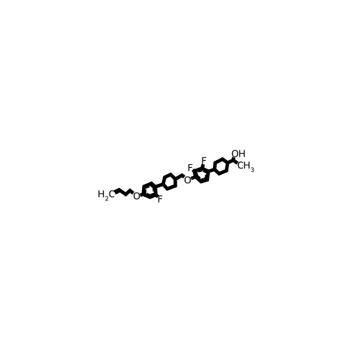 C=CCCOc1ccc(C2CCC(COc3ccc(C4CCC(C(C)O)CC4)c(F)c3F)CC2)c(F)c1